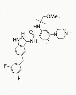 COCC(C)(C)Nc1cc(N2CCN(C)CC2)ccc1C(=O)NC1NNc2ccc(Cc3cc(F)cc(F)c3)cc21